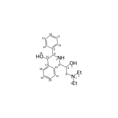 CCN(CC)CC(O)CNC(c1ccccc1)C(O)c1ccccc1